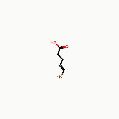 O=C(O)CCC=CS